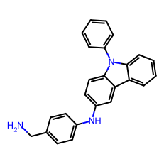 NCc1ccc(Nc2ccc3c(c2)c2ccccc2n3-c2ccccc2)cc1